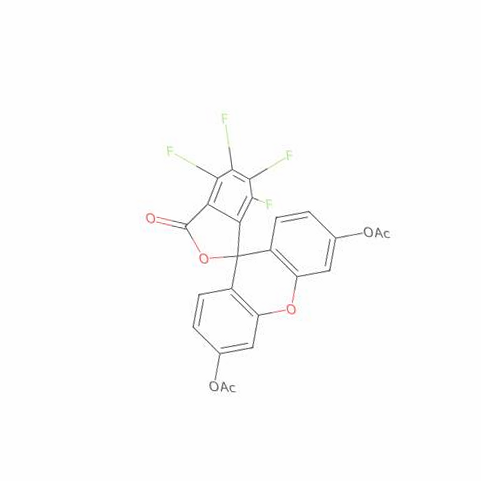 CC(=O)Oc1ccc2c(c1)Oc1cc(OC(C)=O)ccc1C21OC(=O)c2c(F)c(F)c(F)c(F)c21